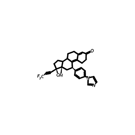 C[C@]12C[C@H](c3ccc(-n4ccnc4)cc3)C3=C4CCC(=O)C=C4CCC3C1CC[C@@]2(O)C#CC(F)(F)F